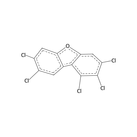 Clc1cc2oc3cc(Cl)c(Cl)c(Cl)c3c2cc1Cl